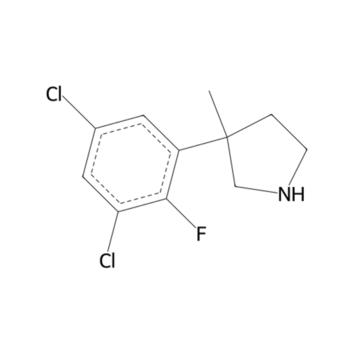 CC1(c2cc(Cl)cc(Cl)c2F)CCNC1